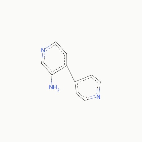 Nc1cnccc1-c1ccncc1